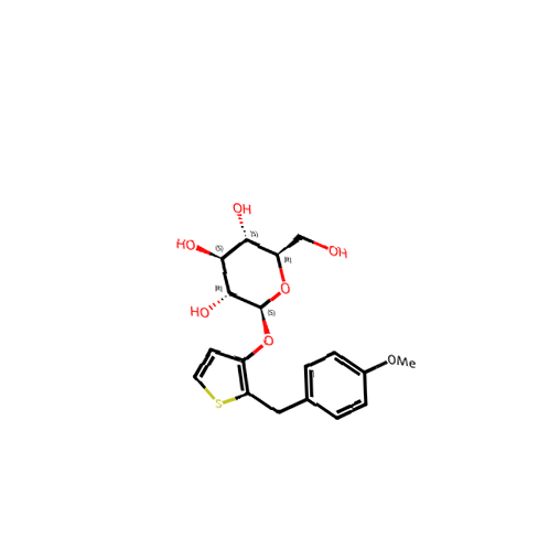 COc1ccc(Cc2sccc2O[C@@H]2O[C@H](CO)[C@@H](O)[C@H](O)[C@H]2O)cc1